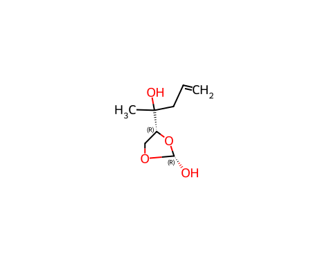 C=CCC(C)(O)[C@H]1CO[C@@H](O)O1